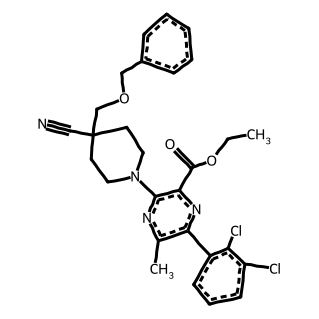 CCOC(=O)c1nc(-c2cccc(Cl)c2Cl)c(C)nc1N1CCC(C#N)(COCc2ccccc2)CC1